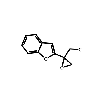 ClCC1(c2cc3ccccc3o2)CO1